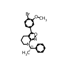 COc1cc(-c2onc3c2CCCN3[C@@H](C)c2ccccc2)ccc1Br